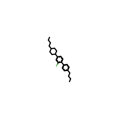 CCCCc1ccc(-c2ccc(C3CCC(CCCC)CC3)cc2F)cc1